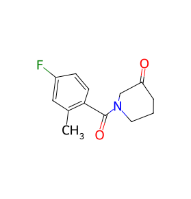 Cc1cc(F)ccc1C(=O)N1CCCC(=O)C1